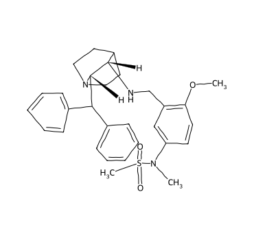 COc1ccc(N(C)S(C)(=O)=O)cc1CN[C@H]1C2CCN(CC2)[C@H]1C(c1ccccc1)c1ccccc1